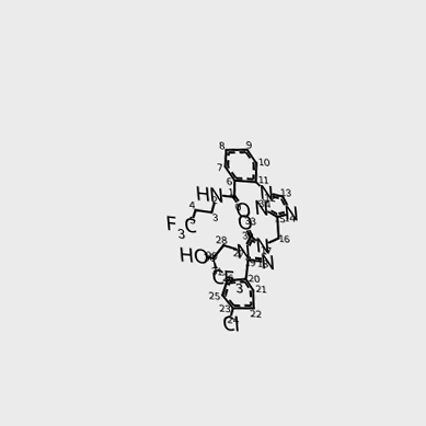 O=C(NCCC(F)(F)F)c1ccccc1-n1cnc(Cn2nc(-c3ccc(Cl)cc3)n(C[C@H](O)C(F)(F)F)c2=O)n1